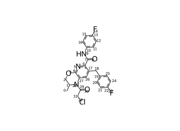 CC1COc2nc(C(=O)Nc3ccc(F)cc3)c(Cc3ccc(F)cc3)cc2N1C(=O)CCl